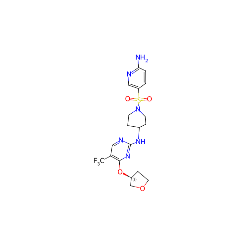 Nc1ccc(S(=O)(=O)N2CCC(Nc3ncc(C(F)(F)F)c(O[C@H]4CCOC4)n3)CC2)cn1